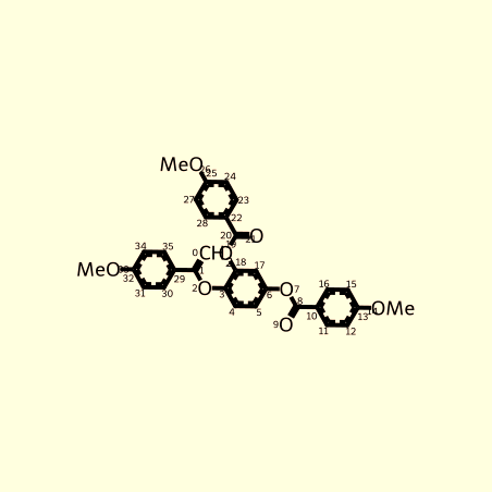 C=C(Oc1ccc(OC(=O)c2ccc(OC)cc2)cc1OC(=O)c1ccc(OC)cc1)c1ccc(OC)cc1